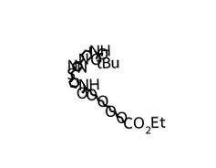 CCOC(=O)COCCOCCOCCOCC(=O)Nc1cccc(Sc2cnc(N3CCC(C)(NC(=O)OC(C)(C)C)CC3)cn2)c1